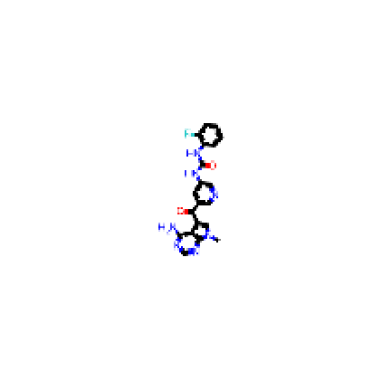 Cn1cc(C(=O)c2cncc(NC(=O)Nc3ccccc3F)c2)c2c(N)ncnc21